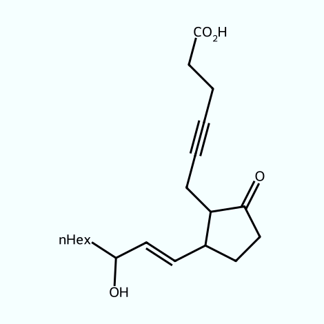 CCCCCCC(O)C=CC1CCC(=O)C1CC#CCCC(=O)O